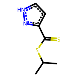 CC(C)SC(=S)c1cc[nH]n1